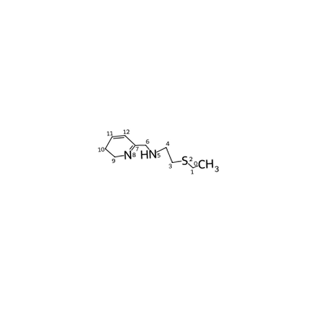 CCSCCNCC1=NCCC=C1